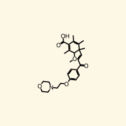 COC1C(C)=C(C(=O)O)C(C)=C(C)C1(C)C=CC(=O)c1ccc(OCCN2CCOCC2)cc1